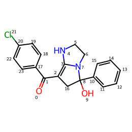 O=C(C1=C2NCCN2C(O)(c2ccccc2)C1)c1ccc(Cl)cc1